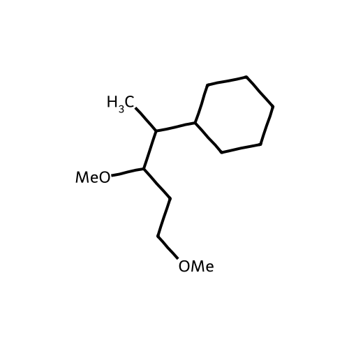 COCCC(OC)C(C)C1CCCCC1